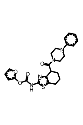 O=C(Nc1nc2c(s1)CCCC2C(=O)N1CCN(c2ccccc2)CC1)Oc1ccco1